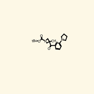 CC(C)(C)OC(=O)N1CC(C)(C(=O)c2cccc(N3CCCC3)c2)C1